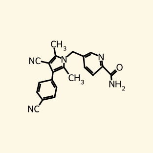 Cc1c(C#N)c(-c2ccc(C#N)cc2)c(C)n1Cc1ccc(C(N)=O)nc1